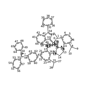 CC(C)c1cccc(C(C)C)c1N1CCN(c2c(C(C)C)cccc2C(C)C)[C]1=[Ru]([Cl])([Cl])=[C]1C=C(c2ccccc2)c2ccccc21.c1ccc([C-](c2ccccc2)c2ccccc2)cc1